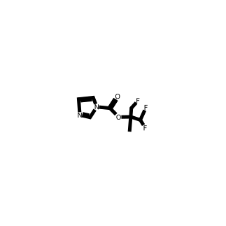 CC(CF)(OC(=O)n1ccnc1)C(F)F